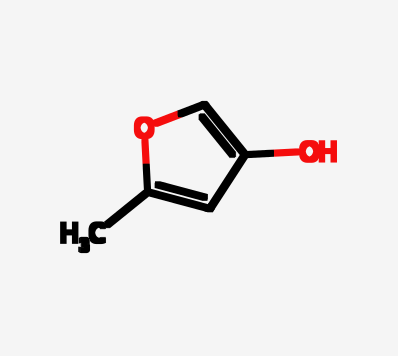 Cc1cc(O)co1